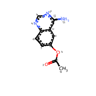 CC(=O)Oc1ccc2ncnc(N)c2c1